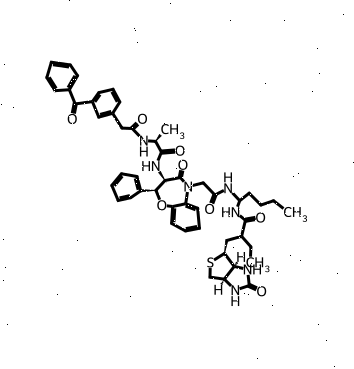 CCCCC(NC(=O)CN1C(=O)[C@H](NC(=O)[C@H](C)NC(=O)Cc2cccc(C(=O)c3ccccc3)c2)[C@H](c2ccccc2)Oc2ccccc21)NC(=O)C(CC)C[C@@H]1SC[C@@H]2NC(=O)N[C@@H]21